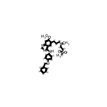 COc1cc2ncnc(Nc3ccc(OCc4ccccc4)cc3)c2cc1CCCN(C)CCS(C)(=O)=O